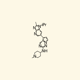 Cc1nc2ncc(-c3ccn4nc(NC5CCN(C)CC5)ncc34)cc2n1C(C)C